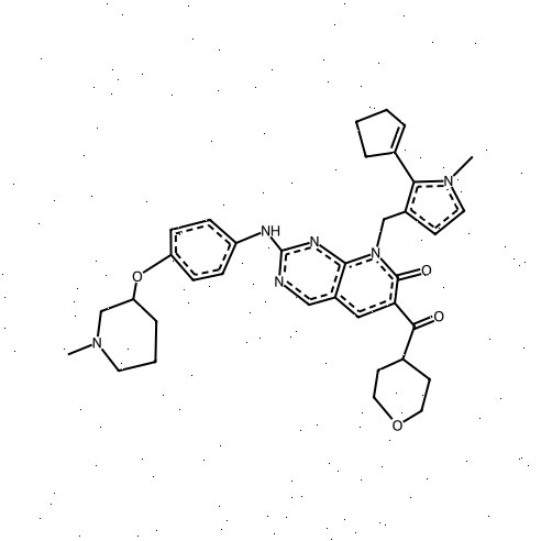 CN1CCCC(Oc2ccc(Nc3ncc4cc(C(=O)C5CCOCC5)c(=O)n(Cc5ccn(C)c5C5=CCCC5)c4n3)cc2)C1